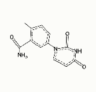 Cc1ccc(-n2ccc(=O)[nH]c2=O)cc1C(N)=O